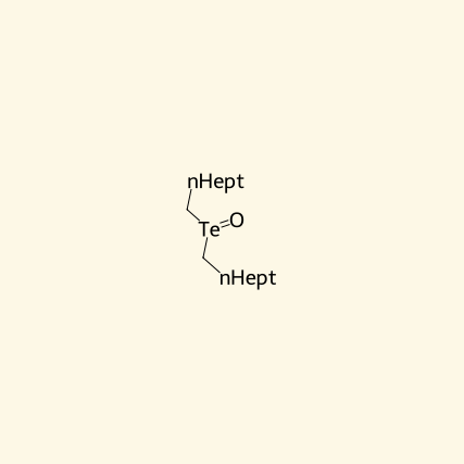 CCCCCCCC[Te](=O)CCCCCCCC